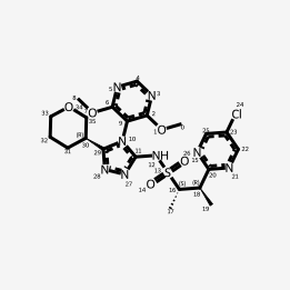 COc1ncnc(OC)c1-n1c(NS(=O)(=O)[C@@H](C)[C@H](C)c2ncc(Cl)cn2)nnc1[C@H]1CCCOC1